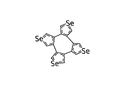 c1[se]cc2c1-c1c[se]cc1-c1c[se]cc1-c1c[se]cc1-2